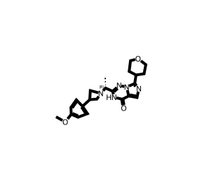 COc1ccc(C2CN([C@H](C)c3nn4c(C5CCOCC5)ncc4c(=O)[nH]3)C2)cc1